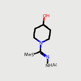 CS/C(=N\NC(C)=O)N1CCC(O)CC1